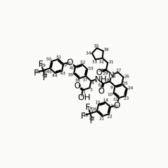 O=C(O)CC(NC(=O)C1c2cc(Oc3ccc(C(F)(F)F)cc3)ccc2CCN1C(=O)CC1CCCC1)c1ccc(Oc2ccc(C(F)(F)F)cc2)cc1